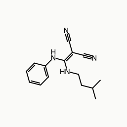 CC(C)CCNC(Nc1ccccc1)=C(C#N)C#N